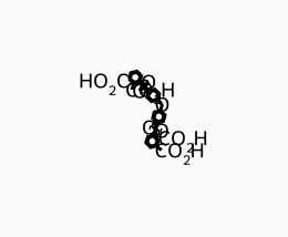 O=C(O)c1cccc(S(=O)(=O)c2ccc(Oc3ccc(S(=O)(=O)c4cccc(C(=O)O)c4C(=O)O)cc3)cc2)c1C(=O)O